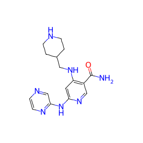 NC(=O)c1cnc(Nc2cnccn2)cc1NCC1CCNCC1